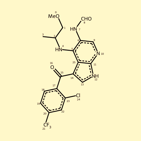 COCC(C)Nc1c(NC=O)cnc2[nH]cc(C(=O)c3ccc(C(F)(F)F)cc3Cl)c12